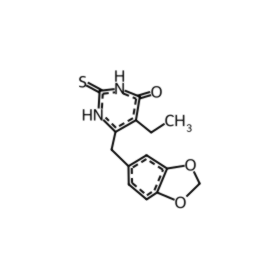 CCc1c(Cc2ccc3c(c2)OCO3)[nH]c(=S)[nH]c1=O